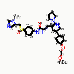 CCCCOCCOc1ccc(-c2cnc(N3CCCC3)c(/C=C/C(=O)Nc3ccc([S+]([O-])Cc4cncn4CCC)cc3)c2)cc1